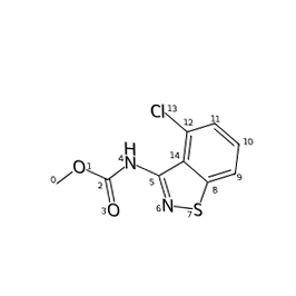 COC(=O)Nc1nsc2cccc(Cl)c12